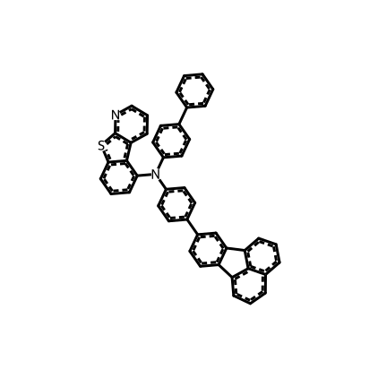 c1ccc(-c2ccc(N(c3ccc(-c4ccc5c(c4)-c4cccc6cccc-5c46)cc3)c3cccc4sc5ncccc5c34)cc2)cc1